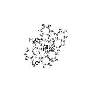 CC1=C([SiH2]C2=C(C)c3ccccc3[C]2c2c(C)ccc3ccccc23)[C](c2c(C)ccc3ccccc23)c2ccccc21